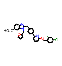 O=C(O)c1ccc2nc(Cc3ccc(-c4cccc(OCc5ccc(Cl)cc5F)n4)cc3)n(Cc3ccco3)c2c1